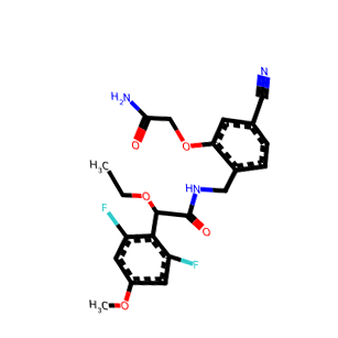 CCOC(C(=O)NCc1ccc(C#N)cc1OCC(N)=O)c1c(F)cc(OC)cc1F